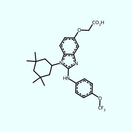 CC1(C)CC(n2c(Nc3ccc(OC(F)(F)F)cc3)nc3cc(OCC(=O)O)ccc32)CC(C)(C)C1